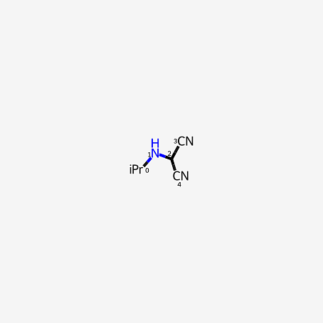 CC(C)NC(C#N)C#N